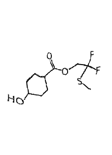 CSC(F)(F)COC(=O)C1CCC(O)CC1